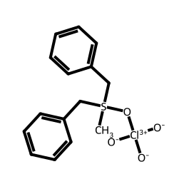 CS(Cc1ccccc1)(Cc1ccccc1)O[Cl+3]([O-])([O-])[O-]